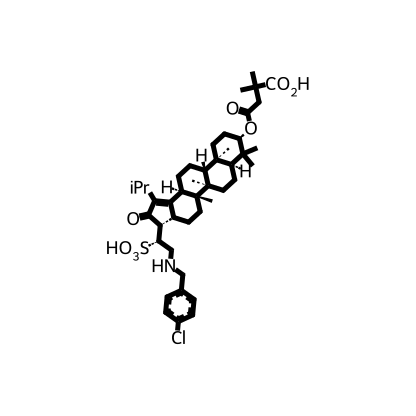 CC(C)C1=C2C(CC[C@]3(C)[C@@H]2CC[C@@H]2[C@@]4(C)CC[C@H](OC(=O)CC(C)(C)C(=O)O)C(C)(C)[C@H]4CC[C@]23C)[C@H]([C@H](CNCc2ccc(Cl)cc2)S(=O)(=O)O)C1=O